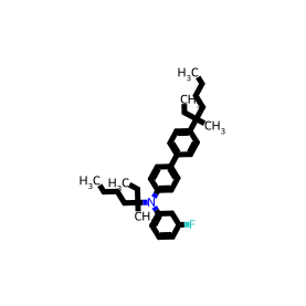 CCCCC(C)(CC)c1ccc(-c2ccc(N(C3=CC=CC(F)C3)C(C)(CC)CCCC)cc2)cc1